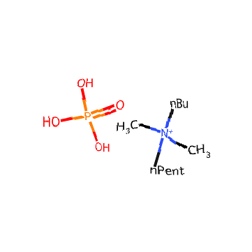 CCCCC[N+](C)(C)CCCC.O=P(O)(O)O